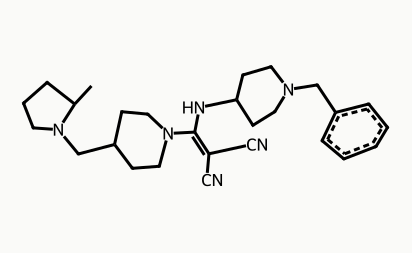 CC1CCCN1CC1CCN(C(NC2CCN(Cc3ccccc3)CC2)=C(C#N)C#N)CC1